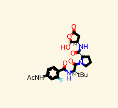 CC(=O)Nc1ccc(C(=O)N[C@H](C(=O)N2CCC[C@H]2C(=O)N[C@H]2CC(=O)O[C@H]2O)C(C)(C)C)c(F)c1